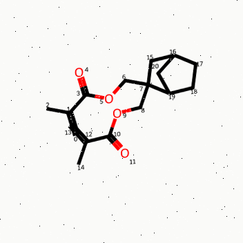 C=C(C)C(=O)OCC1(COC(=O)C(=C)C)CC2CCC1C2